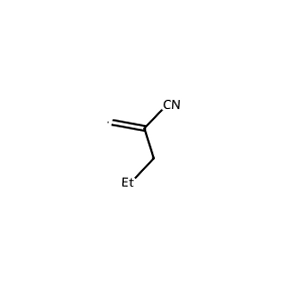 [CH]=C(C#N)CCC